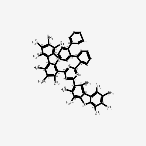 Bc1c(B)c(B)c2c(sc3c(B)c(B)c(-c4nc(-c5ccccc5-c5ccccc5-c5ccccc5)nc(-c5c(B)c(B)c(B)c6c5sc5c(B)c(B)c(B)c(B)c56)n4)c(B)c32)c1B